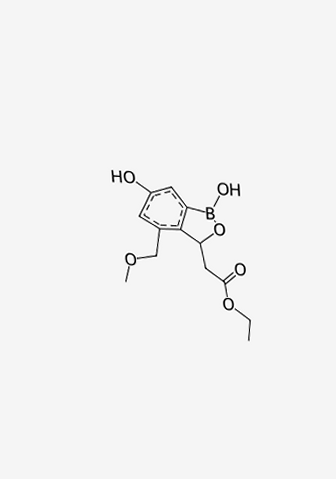 CCOC(=O)CC1OB(O)c2cc(O)cc(COC)c21